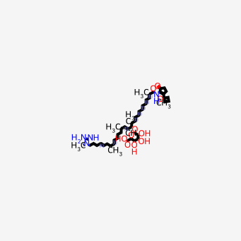 COC1(C2=C(NC(=O)/C(C)=C/C=C/C=C/C=C/C=C/C(C)C(OC3OC(C(=O)O)C(O)C(O)C3O)/C(C)=C/C(C)CCC/C=C/C(C)C/C=C/CCCN(C)C(=N)N)C(=O)CC2)CCC1